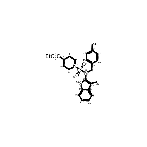 CCOC(=O)C1CCN(S(=O)(=O)N(Cc2ccc(C)cc2)c2sc3ccccc3c2C)CC1